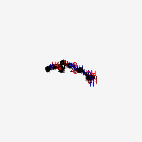 O=C(NCC(=O)N1CCC(COc2cccc(C(O)([SiH2]c3ccccc3)C(=O)OCC3CCN(Cc4ccccc4)CC3)c2)CC1)c1ccc(CCNC[C@H](O)c2ccc(O)c3[nH]c(=O)ccc23)cc1